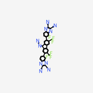 N#CN=C1c2cc(-c3ccc4nc(C#N)c(C#N)nc4c3)c(C(F)(F)F)cc2-c2cc(C(F)(F)F)c(-c3ccc4nc(C#N)c(C#N)nc4c3)cc21